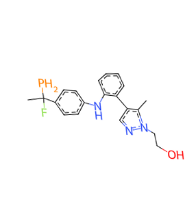 Cc1c(-c2ccccc2Nc2ccc(C(C)(F)P)cc2)cnn1CCO